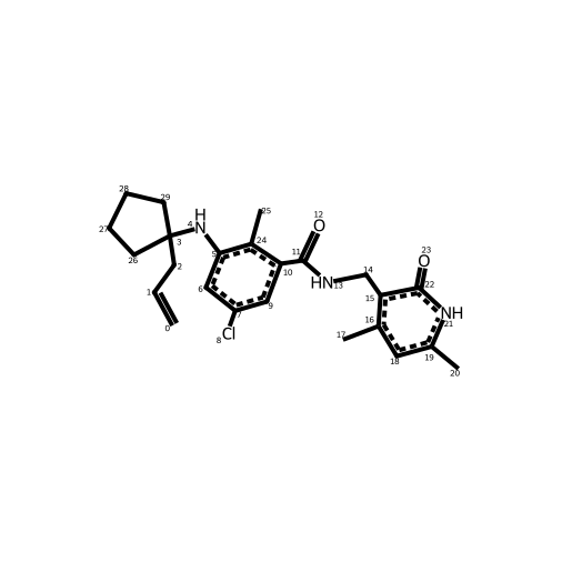 C=CCC1(Nc2cc(Cl)cc(C(=O)NCc3c(C)cc(C)[nH]c3=O)c2C)CCCC1